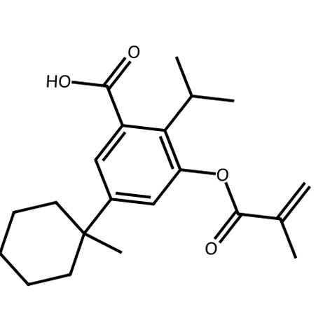 C=C(C)C(=O)Oc1cc(C2(C)CCCCC2)cc(C(=O)O)c1C(C)C